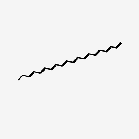 C=CC=CC=CC=CC=CC=CC=CC=CC=CCC